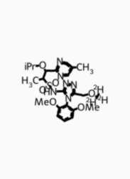 [2H]C([2H])([2H])OCc1nnc(NS(=O)(=O)C(C)C(OC(C)C)c2ncc(C)cn2)n1-c1c(OC)cccc1OC